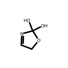 OC1(O)N=CCO1